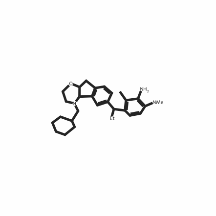 CCC(c1ccc2c(c1)C1C(C2)OCCN1CC1CCCCC1)c1ccc(NC)c(N)c1C